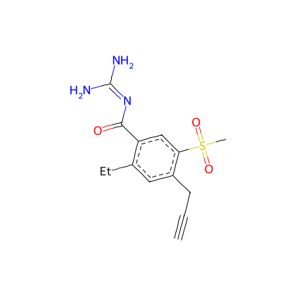 C#CCc1cc(CC)c(C(=O)N=C(N)N)cc1S(C)(=O)=O